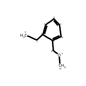 C[CH]c1ccccc1COC